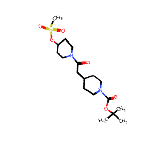 CC(C)(C)OC(=O)N1CCC(CC(=O)N2CCC(OS(C)(=O)=O)CC2)CC1